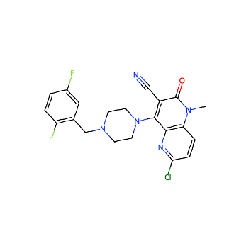 Cn1c(=O)c(C#N)c(N2CCN(Cc3cc(F)ccc3F)CC2)c2nc(Cl)ccc21